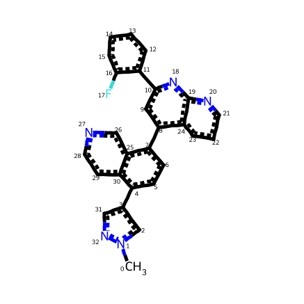 Cn1cc(-c2ccc(-c3cc(-c4ccccc4F)nc4ncccc34)c3cnccc23)cn1